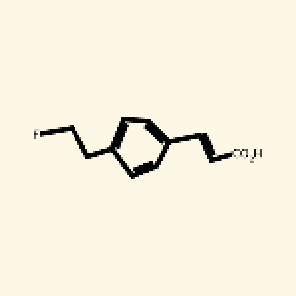 O=C(O)/C=C/c1ccc(CCF)cc1